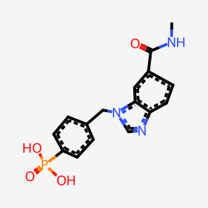 CNC(=O)c1ccc2ncn(Cc3ccc(P(=O)(O)O)cc3)c2c1